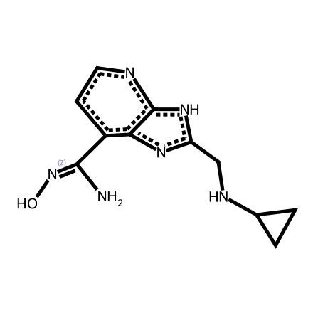 N/C(=N\O)c1ccnc2[nH]c(CNC3CC3)nc12